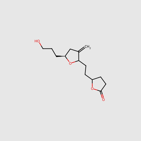 C=C1C[C@H](CCCO)OC1CCC1CCC(=O)O1